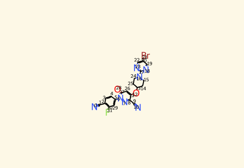 N#Cc1ccc(-n2nc(C#N)c(OC3CCN(c4ncc(Br)cn4)CC3)cc2=O)cc1F